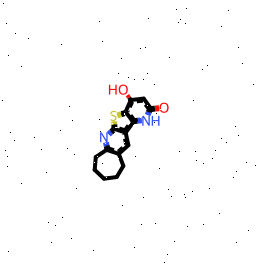 O=c1cc(O)c2sc3nc4c(cc3c2[nH]1)CCCCC4